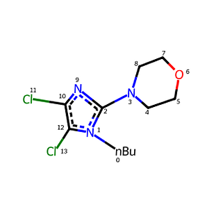 CCCCn1c(N2CCOCC2)nc(Cl)c1Cl